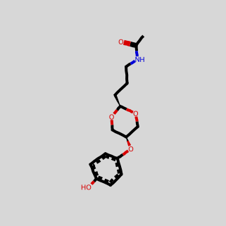 CC(=O)NCCC[C@H]1OC[C@@H](Oc2ccc(O)cc2)CO1